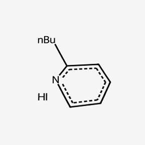 CCCCc1ccccn1.I